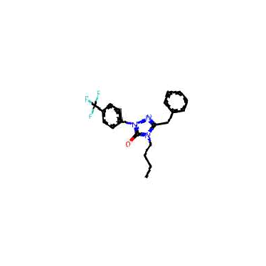 CCCCn1c(Cc2ccccc2)nn(-c2ccc(C(F)(F)F)cc2)c1=O